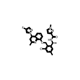 Cc1cc(Cl)c(COc2cccc3c(-n4cc(F)cn4)cc(C)nc23)c([C@H](C)NC(=O)c2ccn(C)n2)c1